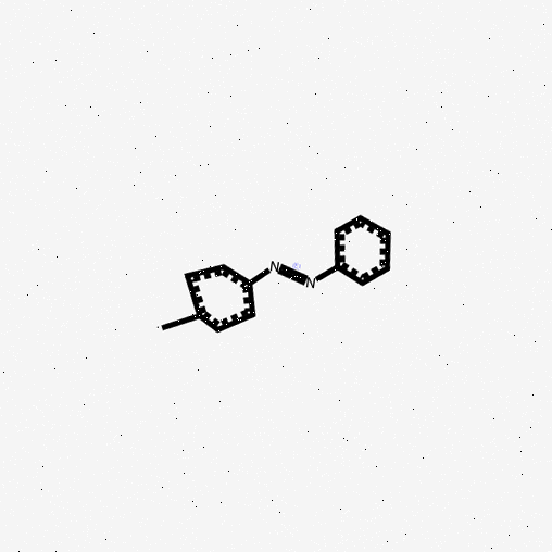 [CH2]c1ccc(/N=N/c2ccccc2)cc1